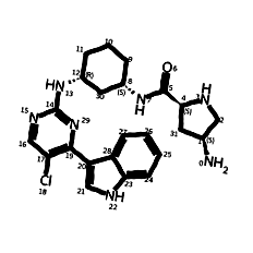 N[C@@H]1CN[C@H](C(=O)N[C@H]2CCC[C@@H](Nc3ncc(Cl)c(-c4c[nH]c5ccccc45)n3)C2)C1